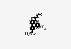 CC(=O)/C=C/c1cnc2ccc(-c3ccc(C(N)=O)cc3)cc2c1Nc1cccc(C(F)(F)F)c1